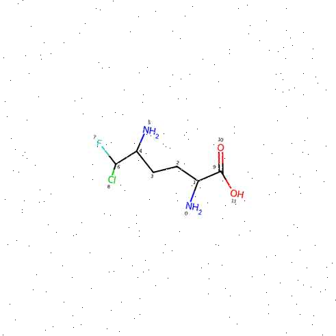 NC(CCC(N)C(F)Cl)C(=O)O